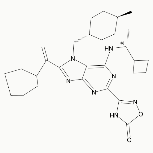 C=C(c1nc2nc(-c3noc(=O)[nH]3)nc(N[C@H](C)C3CCC3)c2n1C[C@H]1CC[C@H](C)CC1)C1CCCCC1